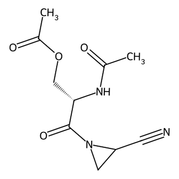 CC(=O)N[C@@H](COC(C)=O)C(=O)N1CC1C#N